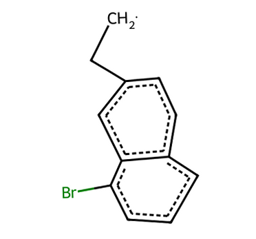 [CH2]Cc1ccc2cccc(Br)c2c1